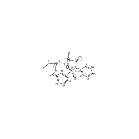 CCN(CC)CCN(C)C(=O)N(c1ccccc1)S(=O)(=O)c1ccccc1